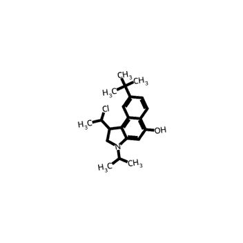 CC(Cl)C1CN(C(C)C)c2cc(O)c3ccc(C(C)(C)C)cc3c21